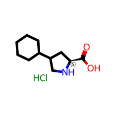 Cl.O=C(O)[C@@H]1CC(C2CCCCC2)CN1